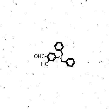 O=Cc1ccc(N(Cc2ccccc2)Cc2ccccc2)cc1O